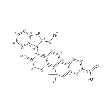 CC1(C)C=c2cc([N+](=O)[O-])ccc2=c2ccc3c(c21)CCC(=O)C=3N1c2ccccc2CC1C[O]